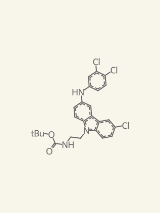 CC(C)(C)OC(=O)NCCn1c2ccc(Cl)cc2c2cc(Nc3ccc(Cl)c(Cl)c3)ccc21